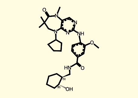 COc1cc(C(=O)NC[C@@H]2CCCC[C@H]2O)ccc1Nc1ncc2c(n1)N(C1CCCC1)CC(C)(C)C(=O)N2C